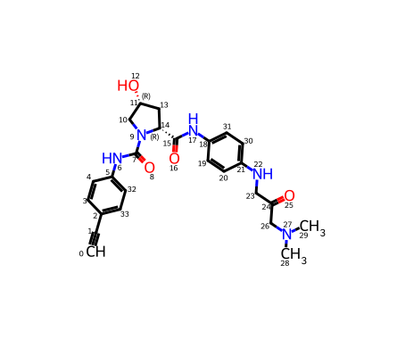 C#Cc1ccc(NC(=O)N2C[C@H](O)C[C@@H]2C(=O)Nc2ccc(NCC(=O)CN(C)C)cc2)cc1